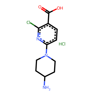 Cl.NC1CCN(c2ccc(C(=O)O)c(Cl)n2)CC1